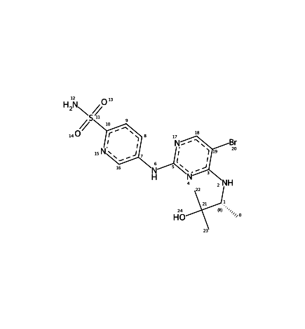 C[C@@H](Nc1nc(Nc2ccc(S(N)(=O)=O)nc2)ncc1Br)C(C)(C)O